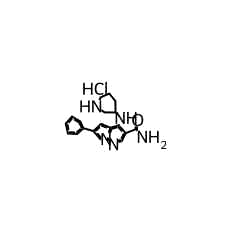 Cl.NC(=O)c1cnn2cc(-c3ccccc3)cc2c1N[C@H]1CCCNC1